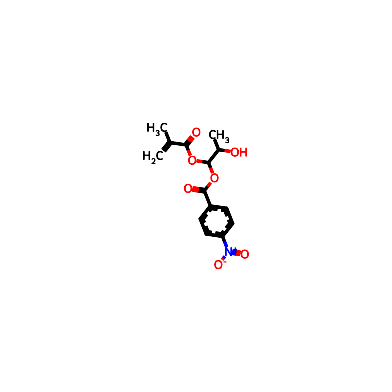 C=C(C)C(=O)OC(OC(=O)c1ccc([N+](=O)[O-])cc1)C(C)O